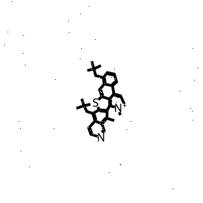 Cc1c2c(c(CC(C)(C)C)c3ccncc13)Sc1cc3c(CC(C)(C)C)cccc3c3cc[n+](C)c-2c13